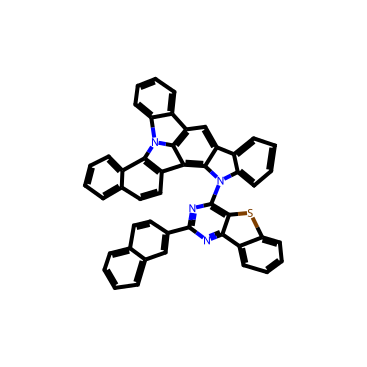 c1ccc2cc(-c3nc(-n4c5ccccc5c5cc6c7ccccc7n7c8c9ccccc9ccc8c(c54)c67)c4sc5ccccc5c4n3)ccc2c1